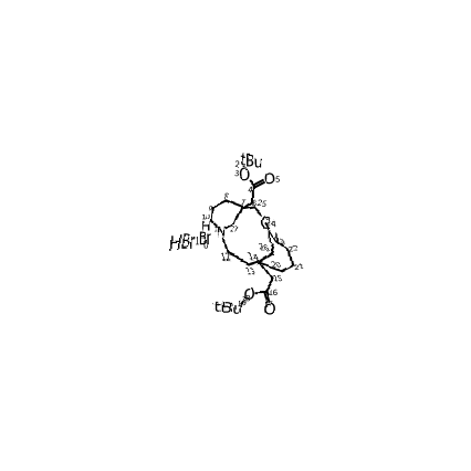 Br.Br.CC(C)(C)OC(=O)CC12CCCN(CCC3(CC(=O)OC(C)(C)C)CCCN(CC1)C3)C2